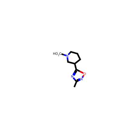 Cc1noc(C2CCCN(C(=O)O)C2)n1